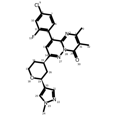 Cc1nc2c(-c3ccc(Cl)cc3F)cc([C@@H]3CCO[C@H](c4cnn(C)c4)C3)nn2c(=O)c1C